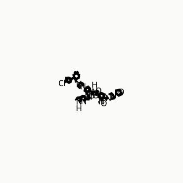 C[N+](=O)c1cc(S(=O)(=O)NC(=O)c2ccc(N3CCN(CC4=C(c5ccc(Cl)cc5)CC(C)(C)CC4)CC3)cc2-n2ncc3nc4[nH]ccc4cc32)ccc1CN1CCN(C2CCOCC2)CC1